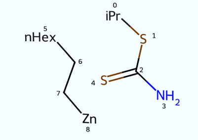 CC(C)SC(N)=S.CCCCCCC[CH2][Zn]